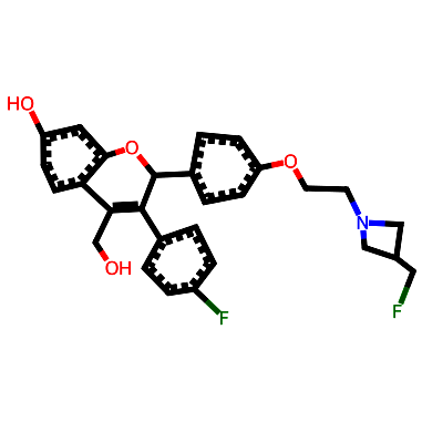 OCC1=C(c2ccc(F)cc2)C(c2ccc(OCCN3CC(CF)C3)cc2)Oc2cc(O)ccc21